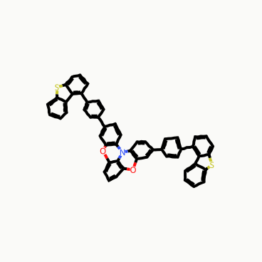 c1cc2c3c(c1)Oc1cc(-c4ccc(-c5cccc6sc7ccccc7c56)cc4)ccc1N3c1ccc(-c3ccc(-c4cccc5sc6ccccc6c45)cc3)cc1O2